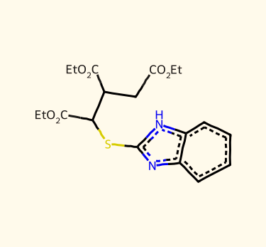 CCOC(=O)CC(C(=O)OCC)C(Sc1nc2ccccc2[nH]1)C(=O)OCC